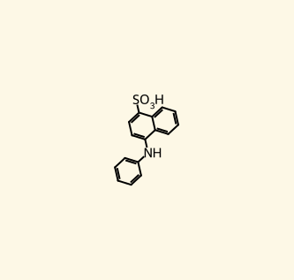 O=S(=O)(O)c1ccc(Nc2ccccc2)c2ccccc12